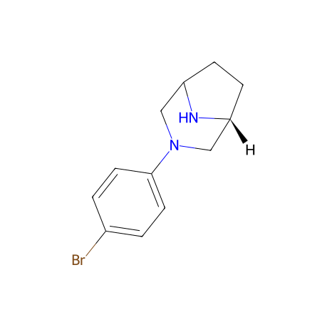 Brc1ccc(N2CC3CC[C@H](C2)N3)cc1